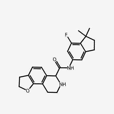 CC1(C)CCc2cc(NC(=O)C3NCCc4c3ccc3c4OCC3)cc(F)c21